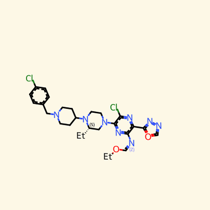 CCO/C=N\c1nc(N2CCN(C3CCN(Cc4ccc(Cl)cc4)CC3)[C@@H](CC)C2)c(Cl)nc1-c1nnco1